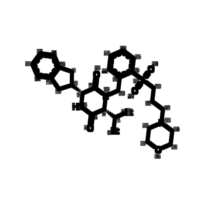 CCC(CC)[C@@H]1C(=O)N[C@H](C2Cc3ccccc3C2)C(=O)N1Cc1ccccc1S(=O)(=O)CCCN1CCOCC1